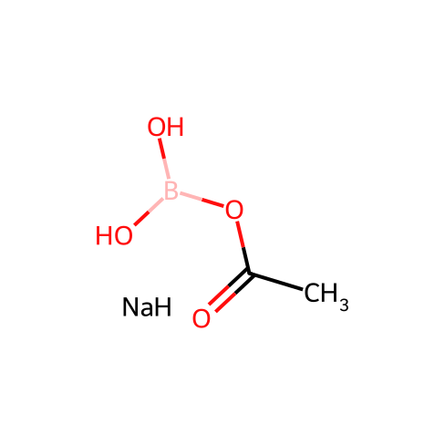 CC(=O)OB(O)O.[NaH]